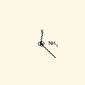 CCCCCCCCCCCCCOS(=O)(=O)CCCCCCCCF.N